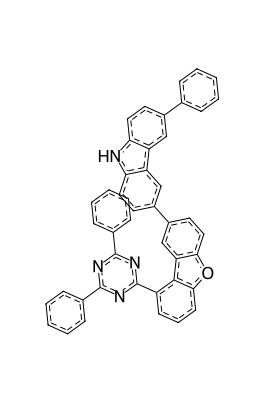 c1ccc(-c2ccc3[nH]c4ccc(-c5ccc6oc7cccc(-c8nc(-c9ccccc9)nc(-c9ccccc9)n8)c7c6c5)cc4c3c2)cc1